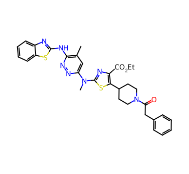 CCOC(=O)c1nc(N(C)c2cc(C)c(Nc3nc4ccccc4s3)nn2)sc1C1CCN(C(=O)Cc2ccccc2)CC1